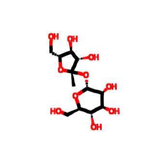 C[C@@]1(O[C@H]2O[C@H](CO)[C@@H](O)[C@H](O)[C@H]2O)O[C@H](CO)[C@@H](O)[C@@H]1O